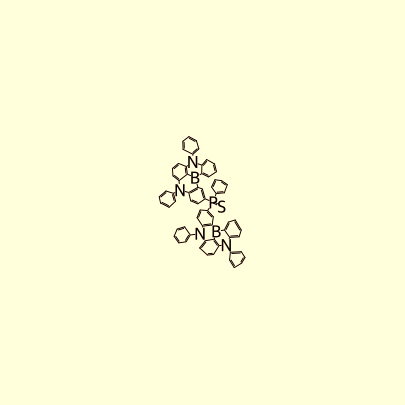 S=P(c1ccccc1)(c1ccc2c(c1)B1c3ccccc3N(c3ccccc3)c3cccc(c31)N2c1ccccc1)c1ccc2c(c1)B1c3ccccc3N(c3ccccc3)c3cccc(c31)N2c1ccccc1